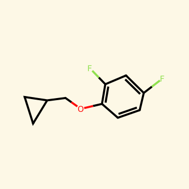 Fc1ccc(OCC2CC2)c(F)c1